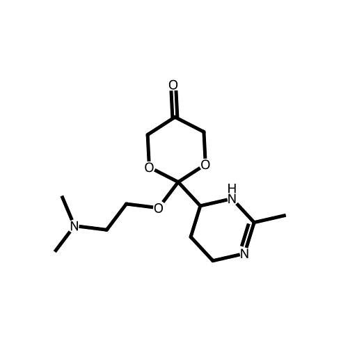 CC1=NCCC(C2(OCCN(C)C)OCC(=O)CO2)N1